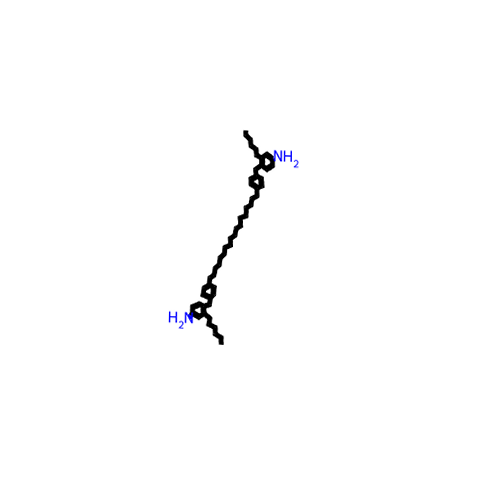 CCCCCCc1cc(N)ccc1Cc1ccc(CCCCCCCCCCCCCCCCCCc2ccc(Cc3ccc(N)cc3CCCCCC)cc2)cc1